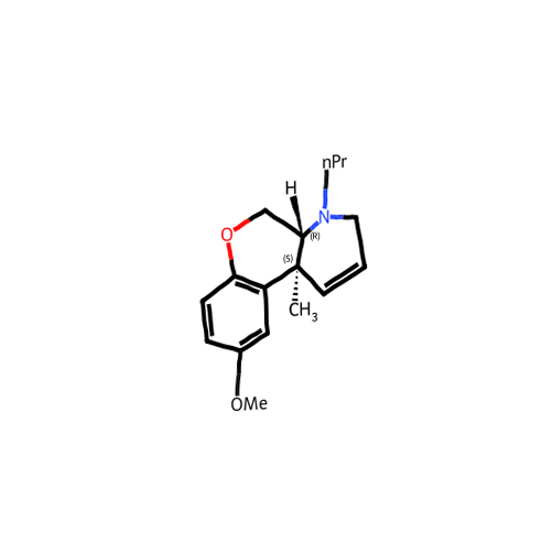 CCCN1CC=C[C@@]2(C)c3cc(OC)ccc3OC[C@H]12